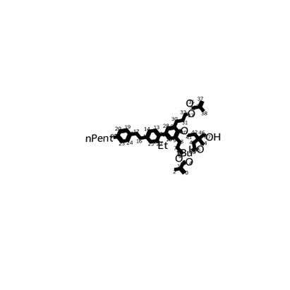 C=C(C)C(=O)OCCCc1cc(C2=CC=C(CCc3ccc(CCCCC)cc3)CC2CC)cc(CCCOC(=O)C(=C)C)c1OCCC(CO)(CO)CCC(C)(C)C